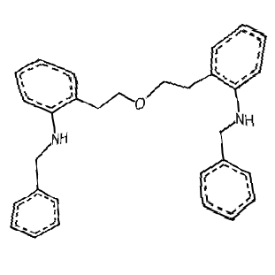 c1ccc(CNc2ccccc2CCOCCc2ccccc2NCc2ccccc2)cc1